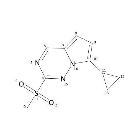 CS(=O)(=O)c1ncc2ccc(C3CC3)n2n1